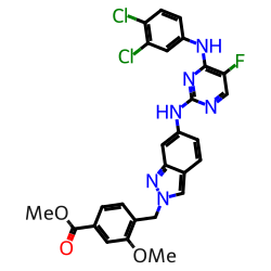 COC(=O)c1ccc(Cn2cc3ccc(Nc4ncc(F)c(Nc5ccc(Cl)c(Cl)c5)n4)cc3n2)c(OC)c1